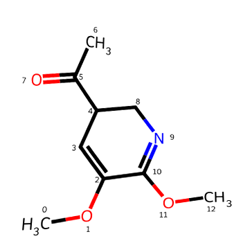 COC1=CC(C(C)=O)CN=C1OC